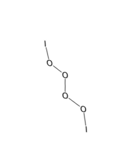 IOOOOI